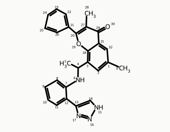 Cc1cc(C(C)Nc2ccccc2-c2c[nH]nn2)c2oc(-c3ccccc3)c(C)c(=O)c2c1